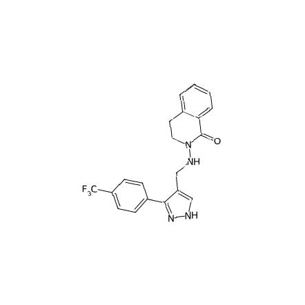 O=C1c2ccccc2CCN1NCc1c[nH]nc1-c1ccc(C(F)(F)F)cc1